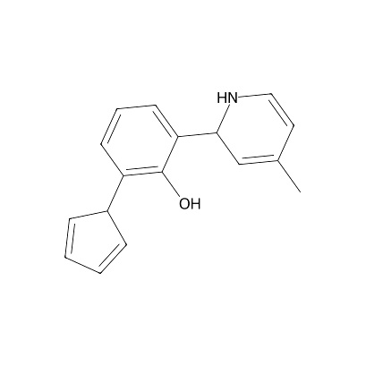 CC1=CC(c2cccc(C3C=CC=C3)c2O)NC=C1